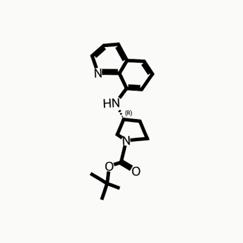 CC(C)(C)OC(=O)N1CC[C@@H](Nc2cccc3cccnc23)C1